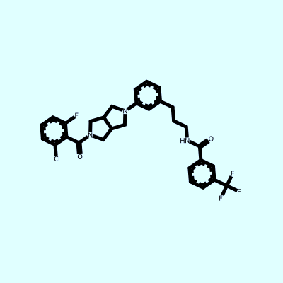 O=C(NCCCc1cccc(N2CC3CN(C(=O)c4c(F)cccc4Cl)CC3C2)c1)c1cccc(C(F)(F)F)c1